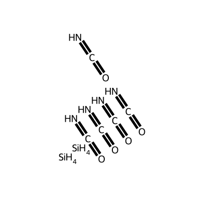 N=C=O.N=C=O.N=C=O.N=C=O.N=C=O.[SiH4].[SiH4]